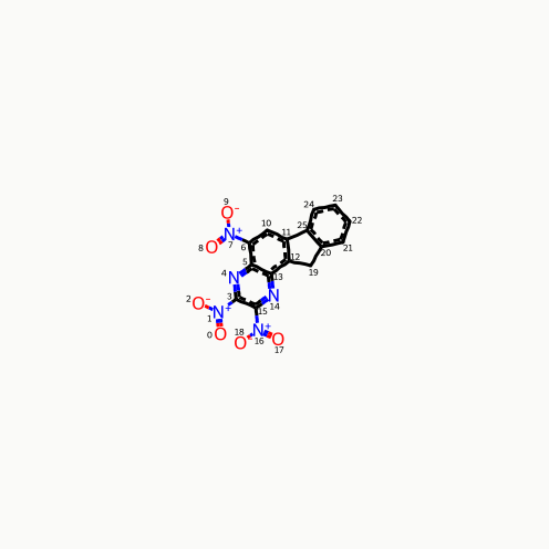 O=[N+]([O-])c1nc2c([N+](=O)[O-])cc3c(c2nc1[N+](=O)[O-])Cc1ccccc1-3